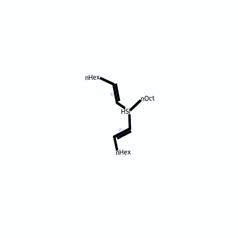 CCCCCC/C=C/[SiH](/C=C/CCCCCC)CCCCCCCC